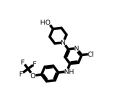 OC1CCN(c2cc(Nc3ccc(OC(F)(F)F)cc3)cc(Cl)n2)CC1